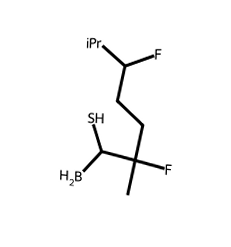 BC(S)C(C)(F)CCC(F)C(C)C